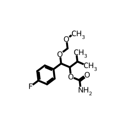 COCOC(c1ccc(F)cc1)C(OC(N)=O)C(C)C